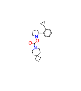 O=C(ON1CCCC1c1ccccc1C1CC1)N1CCC2(CCC2)CC1